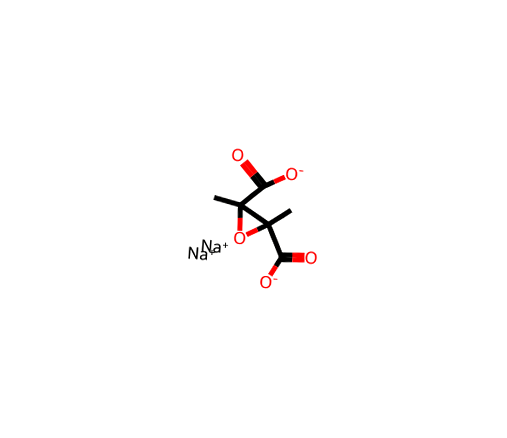 CC1(C(=O)[O-])OC1(C)C(=O)[O-].[Na+].[Na+]